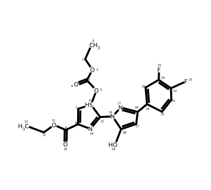 CCOC(=O)O[SH]1C=C(C(=O)OCC)N=C1n1nc(-c2ccc(F)c(F)c2)cc1O